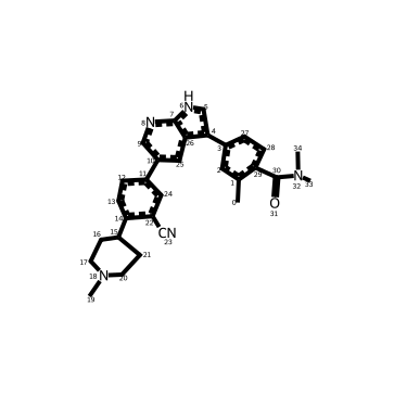 Cc1cc(-c2c[nH]c3ncc(-c4ccc(C5CCN(C)CC5)c(C#N)c4)cc23)ccc1C(=O)N(C)C